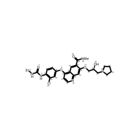 CCNC(=O)Nc1ccc(Oc2ccnc3cc(OC[C@@H](O)CN4CCCC4)c(C(=O)NC)cc23)cc1Cl